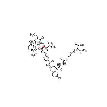 CCCC(=O)OCN(C(=O)[C@@H](NC(=O)C1CCCCN1C)C(C)CC)[C@H](C[C@@H](OC(C)=O)c1nc(C(=O)N[C@H]2Cc3ccc(O)cc3[C@H](C(=O)NNC(=O)OCCSSC[C@@H](NC)C(=O)O)C2)cs1)C(C)C